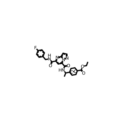 CCOC(=O)C12CCC(C(C)NC(=O)c3cc(C(=O)NCc4ccc(F)cc4)nc4ccnn34)(CC1)CC2